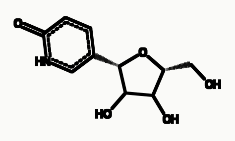 O=c1ccc([C@@H]2O[C@H](CO)C(O)C2O)c[nH]1